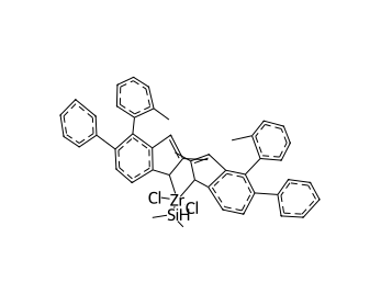 CC1=Cc2c(ccc(-c3ccccc3)c2-c2ccccc2C)[CH]1[Zr]([Cl])([Cl])([CH]1C(C)=Cc2c1ccc(-c1ccccc1)c2-c1ccccc1C)[SiH](C)C